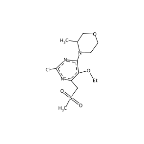 CCOc1c(CS(C)(=O)=O)nc(Cl)nc1N1CCOCC1C